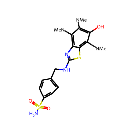 CNc1c(O)c(NC)c2sc(NCc3ccc(S(N)(=O)=O)cc3)nc2c1NC